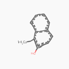 Oc1ccc2ccccc2[c]1[GaH2]